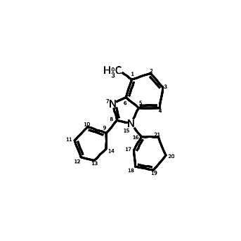 Cc1cccc2c1nc(C1=CC=CCC1)n2C1=CC=CCC1